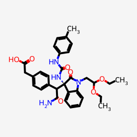 CCOC(CN1C(=O)[C@](NC(=O)Nc2ccc(C)cc2)(C(C(N)=O)c2ccc(CC(=O)O)cc2)c2ccccc21)OCC